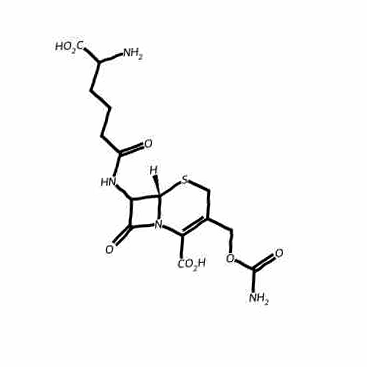 NC(=O)OCC1=C(C(=O)O)N2C(=O)C(NC(=O)CCCC(N)C(=O)O)[C@@H]2SC1